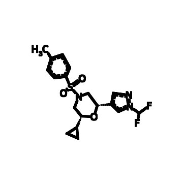 Cc1ccc(S(=O)(=O)N2C[C@@H](C3CC3)O[C@@H](c3cnn(C(F)F)c3)C2)cc1